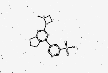 C[C@H]1CCN1c1nc2c(c(-c3cncc(S(N)(=O)=O)c3)n1)CCC2